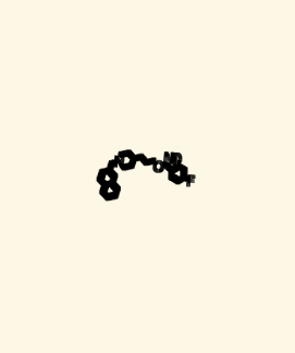 Fc1ccc2c(OCCCC3CCN(Cc4ccc5ccccc5c4)CC3)noc2c1